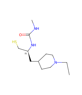 CCN1CCC(C[C@@H](CS)NC(=O)NC)CC1